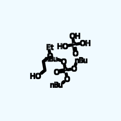 CCCCOP(=O)(OCCCC)OCCCC.CCOCCO.O=P(O)(O)O